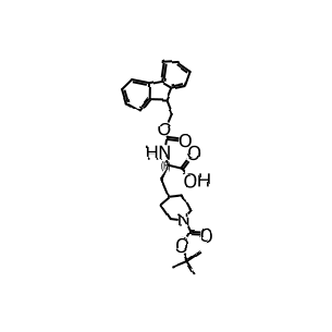 CC(C)(C)OC(=O)N1CCC(C[C@@H](NC(=O)OCC2c3ccccc3-c3ccccc32)C(=O)O)CC1